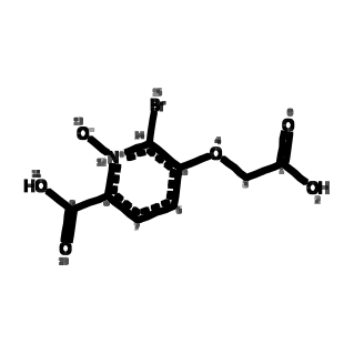 O=C(O)COc1ccc(C(=O)O)[n+]([O-])c1Br